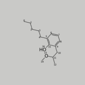 CCCCCc1cccc(CC(C)OC)c1O